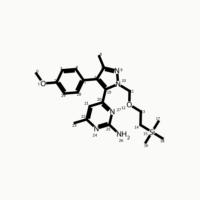 COc1ccc(-c2c(C)nn(COCC[Si](C)(C)C)c2-c2cc(C)nc(N)n2)cc1